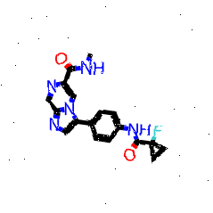 CNC(=O)c1cn2c(-c3ccc(NC(=O)C4(F)CC4)cc3)cnc2cn1